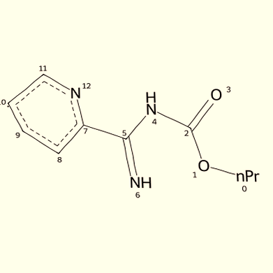 CCCOC(=O)NC(=N)c1cc[c]cn1